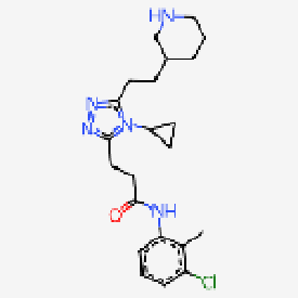 Cc1c(Cl)cccc1NC(=O)CCc1nnc(CCC2CCCNC2)n1C1CC1